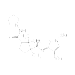 CCCCc1cn(C(C)(C)C)s/c1=N\C(=O)C1(C)CCC(C(=O)NN2CCCC2)C1(C)C